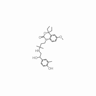 CCC1(CC)OC(=O)N(CCC(C)(C)NCC(O)c2ccc(O)c(C)c2)c2ccc(OC)cc21